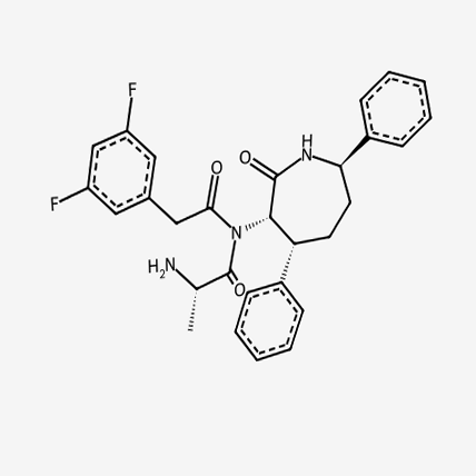 C[C@H](N)C(=O)N(C(=O)Cc1cc(F)cc(F)c1)[C@@H]1C(=O)N[C@@H](c2ccccc2)CC[C@@H]1c1ccccc1